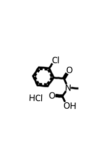 CN(C(=O)O)C(=O)c1ccccc1Cl.Cl